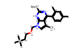 CSc1nc(-c2ccc(C)cc2C)c2c(C(F)(F)F)cn(COCC[Si](C)(C)C)c2n1